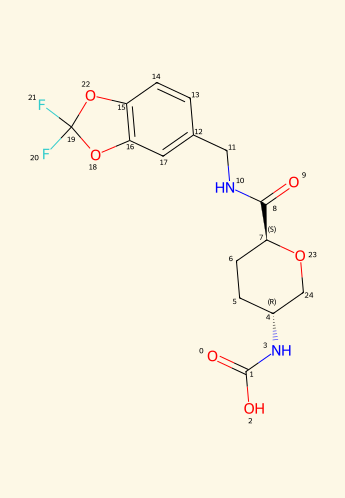 O=C(O)N[C@@H]1CC[C@@H](C(=O)NCc2ccc3c(c2)OC(F)(F)O3)OC1